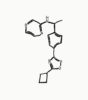 CC(Nc1cnccn1)c1ccc(-c2noc(C3CCC3)n2)cc1